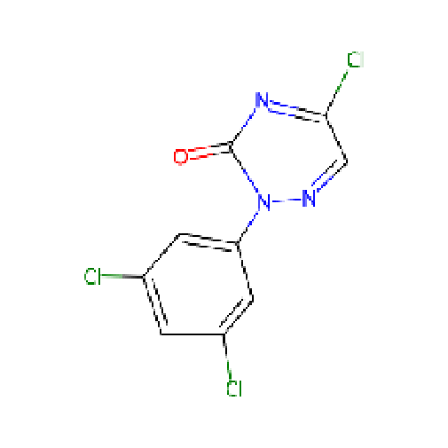 O=c1nc(Cl)cnn1-c1cc(Cl)cc(Cl)c1